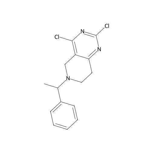 CC(c1ccccc1)N1CCc2nc(Cl)nc(Cl)c2C1